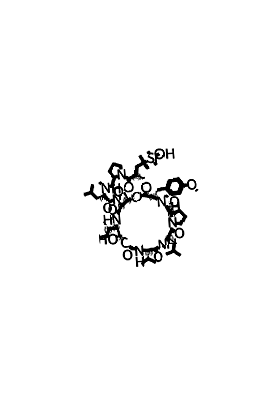 CC[C@H](C)[C@H]1NC(=O)[C@@H](NC(=O)[C@@H](CC(C)C)N(C)C(=O)C2CCCN2C(=O)[C@H](C)CC(C)(C)[Si](C)(C)O)[C@@H](C)OC(=O)[C@H](Cc2ccc(OC)cc2)N(C)C(=O)[C@@H]2CCCN2C(=O)[C@H](CC(C)C)NC(=O)[C@H](C(C)C)NC(=O)C[C@@H]1O